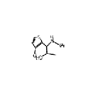 CC(C)NC(c1sccc1Cl)C(C)O